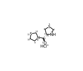 Cl.O=C([C@@H]1CSCN1)N1CCSC1